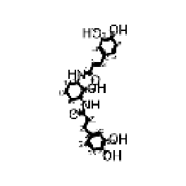 O=C(C=Cc1ccc(O)c(O)c1)N[C@H]1CCC[C@@H](NC(=O)C=Cc2ccc(O)c(O)c2)C1O